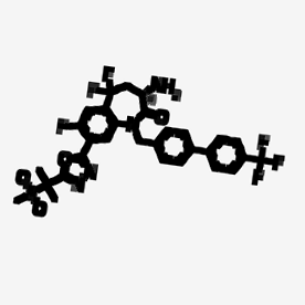 CC(C)(c1nnc(-c2cc3c(cc2F)C(F)(F)C[C@@H](N)C(=O)N3Cc2ccc(-c3ccc(C(F)(F)F)cc3)cc2)o1)S(C)(=O)=O